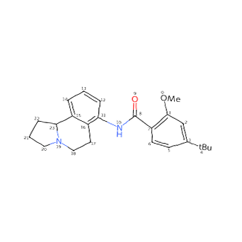 COc1cc(C(C)(C)C)ccc1C(=O)Nc1cccc2c1CCN1CCCC21